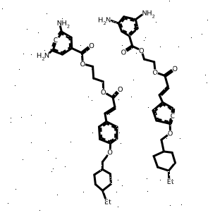 CCC1CCC(COc2ccc(C=CC(=O)OCCCOC(=O)c3cc(N)cc(N)c3)cc2)CC1.CCC1CCC(COc2ccc(C=CC(=O)OCCOC(=O)c3cc(N)cc(N)c3)cc2)CC1